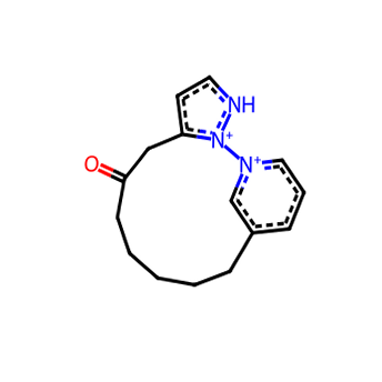 O=C1CCCCCc2ccc[n+](c2)-[n+]2[nH]ccc2C1